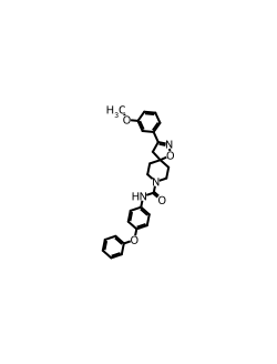 COc1cccc(C2=NOC3(CCN(C(=O)Nc4ccc(Oc5ccccc5)cc4)CC3)C2)c1